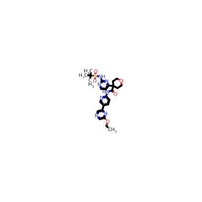 CCOc1cncc(-c2ccc(NC(=O)C3(c4ccnc(NS(=O)(=O)C(C)(C)C)n4)CCOCC3)nc2)n1